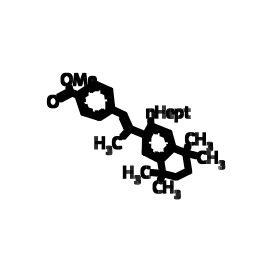 CCCCCCCc1cc2c(cc1C(C)=Cc1ccc(C(=O)OC)cc1)C(C)(C)CCC2(C)C